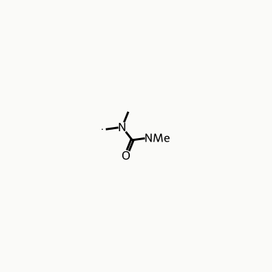 [CH2]N(C)C(=O)NC